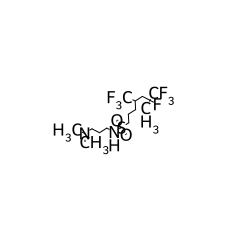 CN(C)CCCNS(=O)(=O)CCCC(CC(C)(F)C(F)(F)F)C(F)(F)F